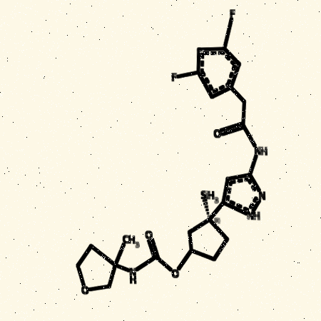 CC1(NC(=O)OC2CC[C@]([SiH3])(c3cc(NC(=O)Cc4cc(F)cc(F)c4)n[nH]3)C2)CCOC1